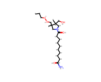 CCCOOCC1(C)CN(C(=O)CCCCCCCCC(N)=O)CC1(C)CO